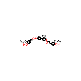 COc1cc(C=COCOc2ccc(-c3ccc(OC(=O)C=Cc4ccc(O)c(OC)c4)cc3C)cc2)ccc1O